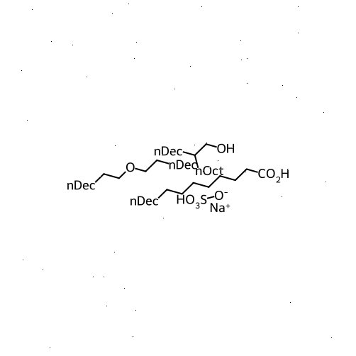 CCCCCCCCCCC(CO)CCCCCCCC.CCCCCCCCCCCCCCCCCC(=O)O.CCCCCCCCCCCCOCCCCCCCCCCCC.O=S(=O)([O-])O.[Na+]